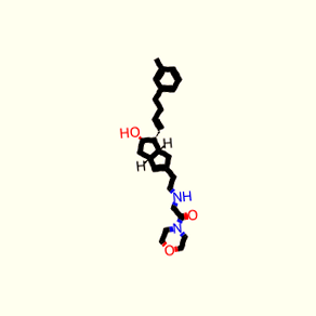 Cc1cccc(CC/C=C/[C@@H]2[C@H]3CC(CCNCC(=O)N4CCOCC4)=C[C@H]3C[C@H]2O)c1